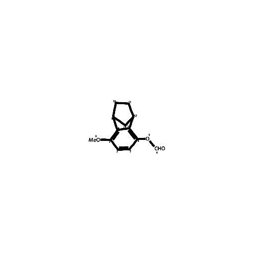 COc1ccc(OC=O)c2c1C1CCC2C1